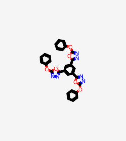 c1ccc(Oc2nnc(-c3cc(-c4nnc(Oc5ccccc5)o4)cc(-c4nnc(Oc5ccccc5)o4)c3)o2)cc1